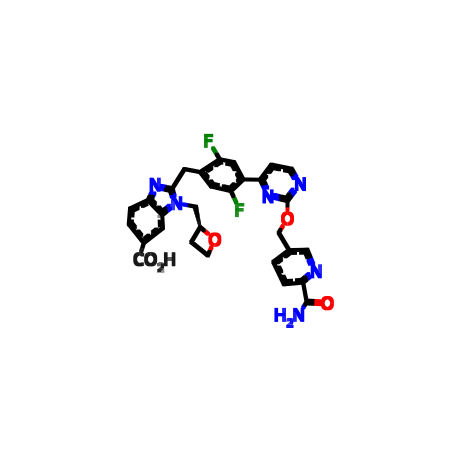 NC(=O)c1ccc(COc2nccc(-c3cc(F)c(Cc4nc5ccc(C(=O)O)cc5n4C[C@@H]4CCO4)cc3F)n2)cn1